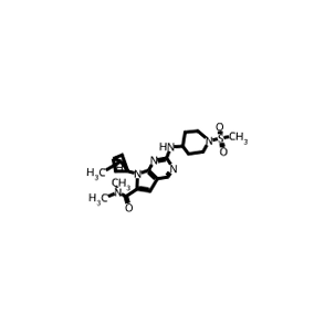 C[C@@H]1C2CC1(n1c(C(=O)N(C)C)cc3cnc(NC4CCN(S(C)(=O)=O)CC4)nc31)C2